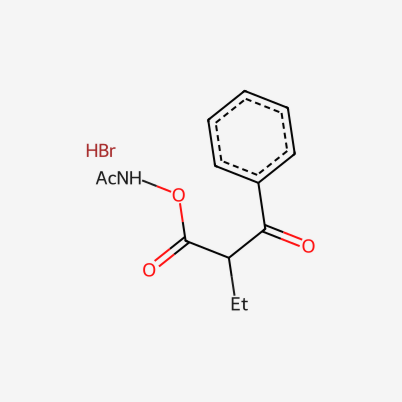 Br.CCC(C(=O)ONC(C)=O)C(=O)c1ccccc1